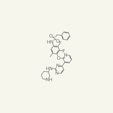 Cc1cc(NS(=O)(=O)Cc2ccccc2)c(F)c(F)c1Oc1ncccc1-c1ccnc(NC2CCCNC2)n1